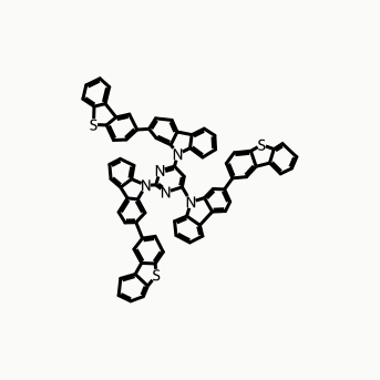 c1ccc2c(c1)sc1ccc(-c3ccc4c5ccccc5n(-c5cc(-n6c7ccccc7c7ccc(-c8ccc9sc%10ccccc%10c9c8)cc76)nc(-n6c7ccccc7c7ccc(-c8ccc9sc%10ccccc%10c9c8)cc76)n5)c4c3)cc12